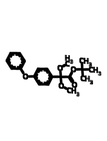 COC(OC)(C(=O)OC(C)(C)C)c1ccc(Oc2ccccc2)cc1